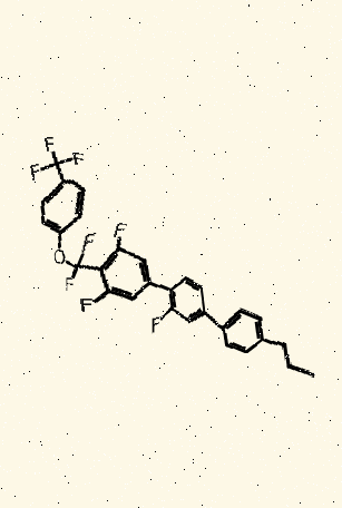 CCCc1ccc(-c2ccc(-c3cc(F)c(C(F)(F)Oc4ccc(C(F)(F)F)cc4)c(F)c3)c(F)c2)cc1